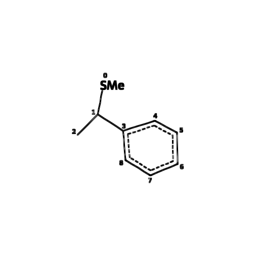 [CH2]SC(C)c1ccccc1